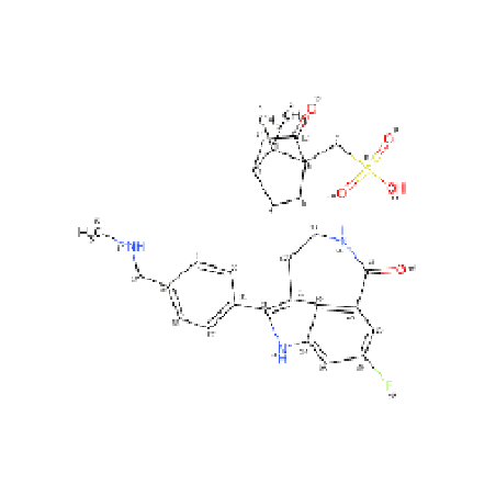 CC1(C)C2CCC1(CS(=O)(=O)O)C(=O)C2.CNCc1ccc(-c2[nH]c3cc(F)cc4c3c2CCNC4=O)cc1